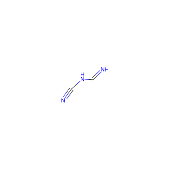 N#CNC=N